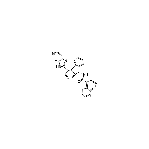 O=C(N[C@H]1c2ccccc2-c2c(-c3nc4ccncc4[nH]3)cccc21)c1cccc2ncccc12